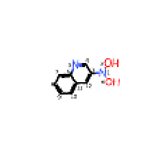 ON(O)c1cnc2ccccc2c1